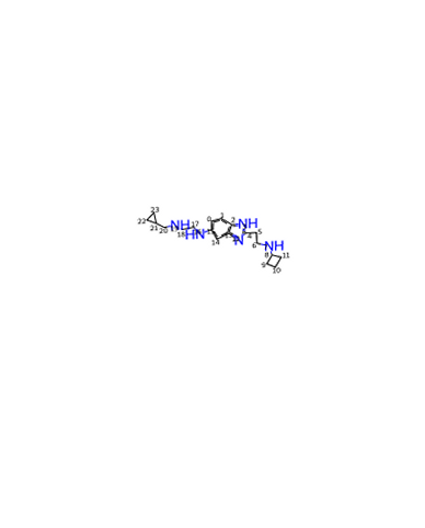 c1cc2[nH]c(CCNC3CCC3)nc2cc1NCCNCC1CC1